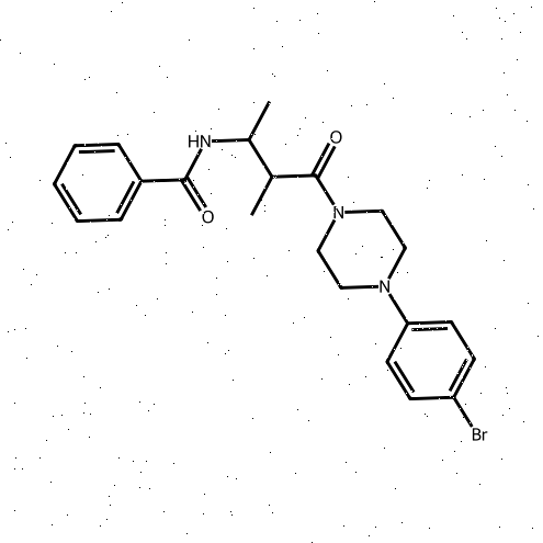 CC(NC(=O)c1ccccc1)C(C)C(=O)N1CCN(c2ccc(Br)cc2)CC1